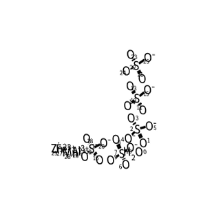 O.O=S(=O)([O-])[O-].O=S(=O)([O-])[O-].O=S(=O)([O-])[O-].O=S(=O)([O-])[O-].O=S(=O)([O-])[O-].[Al+3].[Fe+3].[Mn+2].[Zn+2]